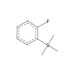 C[Si](C)(C)c1ccc[c]c1F